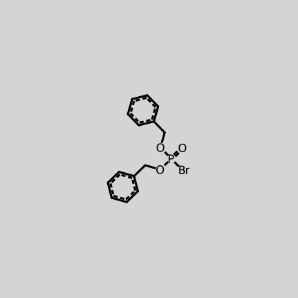 O=P(Br)(OCc1ccccc1)OCc1ccccc1